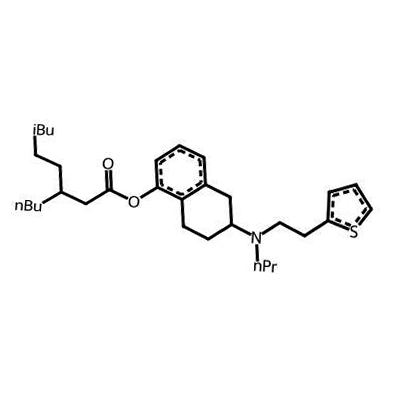 CCCCC(CCC(C)CC)CC(=O)Oc1cccc2c1CCC(N(CCC)CCc1cccs1)C2